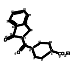 CCOC(=O)N1CCN(C(=O)N2Cc3ccccc3C2=O)CC1